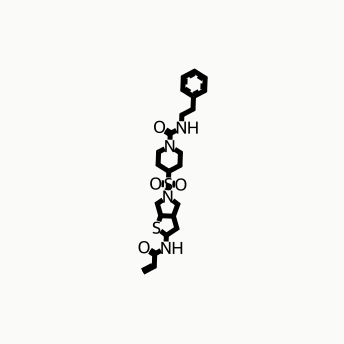 C=CC(=O)NC1CC2CN(S(=O)(=O)C3CCN(C(=O)NCCc4ccccc4)CC3)CC2S1